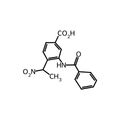 CC(c1ccc(C(=O)O)cc1NC(=O)c1ccccc1)[N+](=O)[O-]